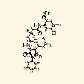 CCOc1cc(F)c(Cl)cc1NC(=O)CC(C)(C)CC(=O)Nc1c(CCN(C)C)n(C)n(-c2ccccc2)c1=O